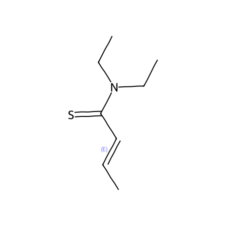 C/C=C/C(=S)N(CC)CC